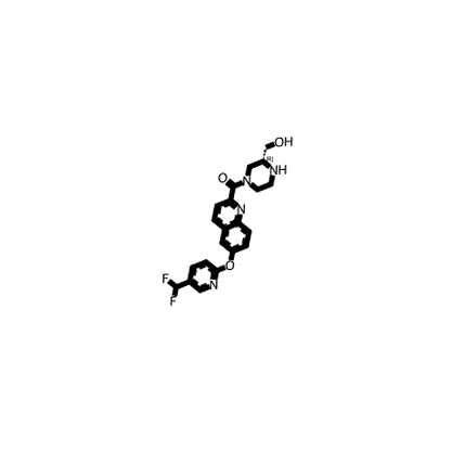 O=C(c1ccc2cc(Oc3ccc(C(F)F)cn3)ccc2n1)N1CCN[C@@H](CO)C1